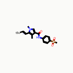 Cc1c(C(=O)Nc2ccc(S(C)(=O)=O)cc2)cn(C)c1/C=C/C(C)(C)C